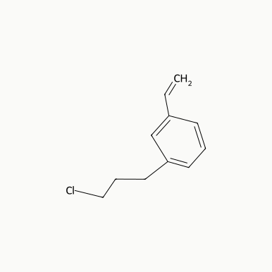 C=Cc1cccc(CCCCl)c1